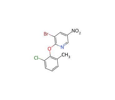 Cc1cccc(Cl)c1Oc1ncc([N+](=O)[O-])cc1Br